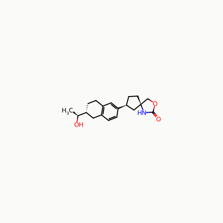 C[C@H](O)[C@@H]1CCc2cc([C@H]3CC[C@]4(COC(=O)N4)C3)ccc2C1